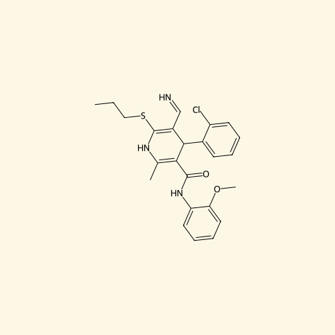 CCCSC1=C(C=N)C(c2ccccc2Cl)C(C(=O)Nc2ccccc2OC)=C(C)N1